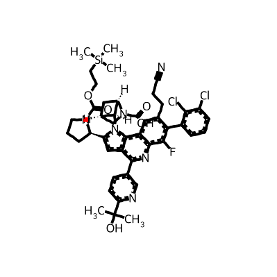 CC(C)(O)c1ccc(-c2nc3c(F)c(-c4cccc(Cl)c4Cl)c(CCC#N)cc3c3c2cc([C@H]2CCCN2C(=O)OCC[Si](C)(C)C)n3[C@H]2[C@@H]3C[C@H]2N(C(=O)O)C3)cn1